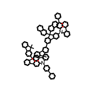 CC1(C)c2ccccc2-c2ccc(C3(c4ccc5c(c4)C(C)(C)c4ccc(-c6ccc7c(c6)-c6ccc(N(c8ccc(-c9ccccc9)cc8)c8ccccc8-c8ccccc8)cc6C7(c6ccc7ccccc7c6)c6ccc7ccccc7c6)cc4-5)c4ccccc4-c4ccc(N(c5ccc(-c6ccccc6)cc5)c5ccccc5-c5ccccc5)cc43)cc21